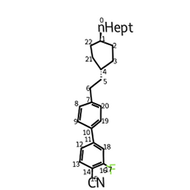 CCCCCCC[C@H]1CC[C@H](CCc2ccc(-c3ccc(C#N)c(F)c3)cc2)CC1